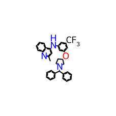 Cc1cc(Nc2cc(OC3CCN(C(c4ccccc4)c4ccccc4)C3)cc(C(F)(F)F)c2)c2ccccc2n1